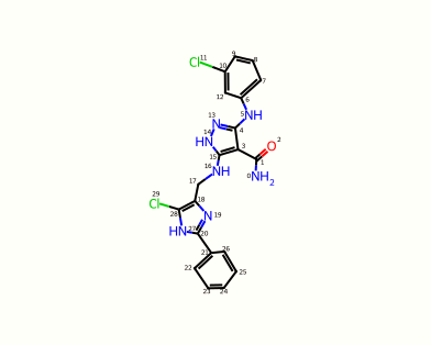 NC(=O)c1c(Nc2cccc(Cl)c2)n[nH]c1NCc1nc(-c2ccccc2)[nH]c1Cl